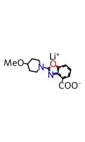 COC1CCN(c2nc3c(C(=O)[O-])cccc3o2)CC1.[Li+]